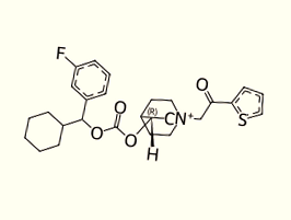 O=C(OC(c1cccc(F)c1)C1CCCCC1)O[C@H]1C[N+]2(CC(=O)c3cccs3)CCC1CC2